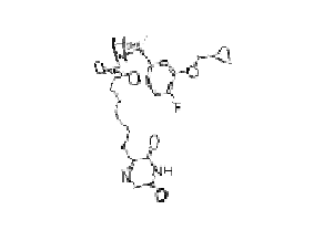 C[C@@H](NS(=O)(=O)CCCCCC1=NCC(=O)NC1=O)c1ccc(F)c(OCC2CC2)c1